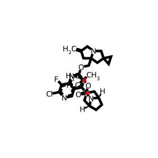 C=C1CN2CC3(CC3)CC2(COc2nc(N3C[C@H]4CC[C@@H](C3)N4C(=O)OC(C)(C)C)c3cnc(Cl)c(F)c3n2)C1